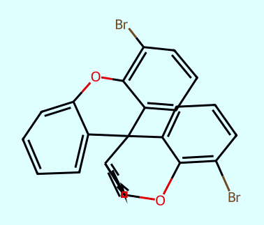 Brc1cccc2c1Oc1ccccc1C21c2ccccc2Oc2c(Br)cccc21